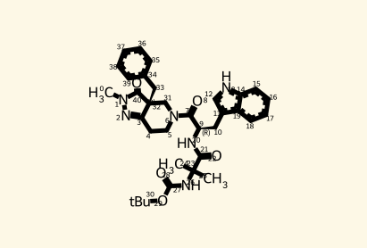 CN1N=C2CCN(C(=O)[C@@H](Cc3c[nH]c4ccccc34)NC(=O)C(C)(C)NC(=O)OC(C)(C)C)C[C@@]2(Cc2ccccc2)C1=O